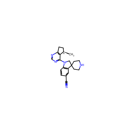 C[C@@H]1CCc2ncnc(N3CC4(CCNCC4)c4cc(C#N)ccc43)c21